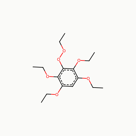 CCOOc1c(OCC)c(OCC)cc(OCC)c1OCC